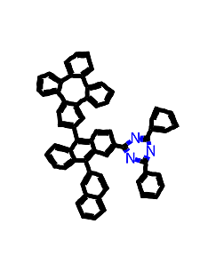 c1ccc(-c2nc(-c3ccccc3)nc(-c3ccc4c(-c5ccc6c(c5)-c5ccccc5-c5ccccc5-c5ccccc5-6)c5ccccc5c(-c5ccc6ccccc6c5)c4c3)n2)cc1